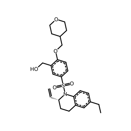 C=C[C@H]1CCc2cc(CC)ccc2N1S(=O)(=O)c1ccc(OCC2CCOCC2)c(CO)c1